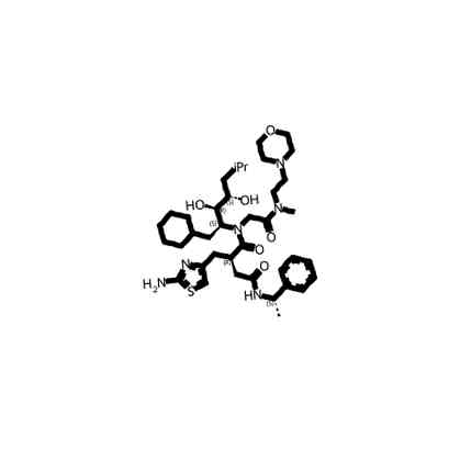 CC(C)C[C@H](O)[C@H](O)[C@H](CC1CCCCC1)N(CC(=O)N(C)CCN1CCOCC1)C(=O)[C@@H](CC(=O)N[C@@H](C)c1ccccc1)Cc1csc(N)n1